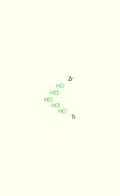 Cl.Cl.Cl.Cl.Cl.[Ti].[Zr]